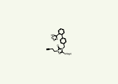 C#CCCn1nc(CCCCCCC)n(Cc2ccc(-c3ccccc3-c3nnn[nH]3)cc2)c1=O